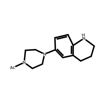 CC(=O)N1CCN(c2ccc3c(c2)CCCN3)CC1